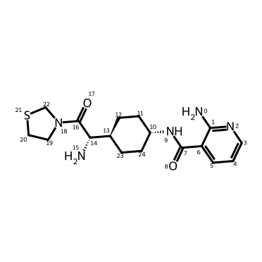 Nc1ncccc1C(=O)N[C@H]1CC[C@H]([C@H](N)C(=O)N2CCSC2)CC1